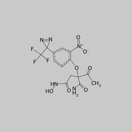 CC(=O)C(CC(=O)NO)(Oc1ccc(C2(C(F)(F)F)N=N2)cc1[N+](=O)[O-])C(N)=O